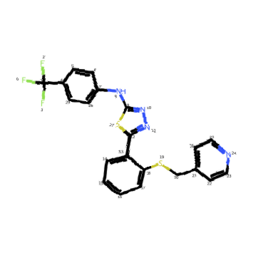 FC(F)(F)c1ccc(Nc2nnc(-c3ccccc3SCc3ccncc3)s2)cc1